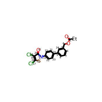 CCC(=O)OCc1cccc(-c2ccc(-n3sc(Cl)c(Cl)c3=O)cc2)c1